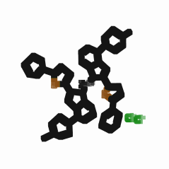 Cc1ccc(-c2cccc3c2C=C(c2ccc(-c4ccccc4)s2)[CH]3[Zr+2][CH]2C(c3ccc(-c4ccccc4)s3)=Cc3c(-c4ccc(C)cc4)cccc32)cc1.[Cl-].[Cl-]